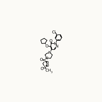 CS(=O)(=O)CS(=O)(=O)N1CCN(c2cnn(-c3cccc(Cl)c3)c(=O)c2OC2CCCC2)CC1